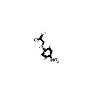 O=C(Cl)CSc1ccc([N+](=O)[O-])cc1